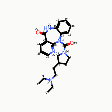 CCN(CC)CCC1CCN(C(=O)N2c3ccccc3NC(=O)c3cccnc32)C1